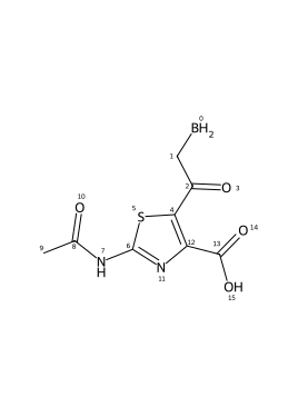 BCC(=O)c1sc(NC(C)=O)nc1C(=O)O